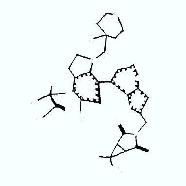 CC1(C)C2C(=O)N(Cc3cc4nccc(-c5cc(Cl)cc6c5N(CC5(F)CCNCC5)CC6)c4s3)C(=O)C21.O=C(O)C(F)(F)F